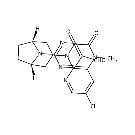 Cn1c(=O)c(=O)n(C2C[C@H]3CC[C@@H](C2)N3c2ncc(C=O)cn2)c2ncc(Cl)cc21